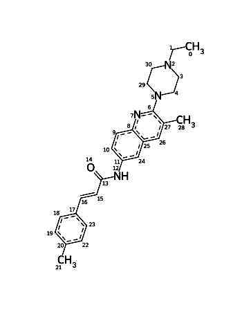 CCN1CCN(c2nc3ccc(NC(=O)C=Cc4ccc(C)cc4)cc3cc2C)CC1